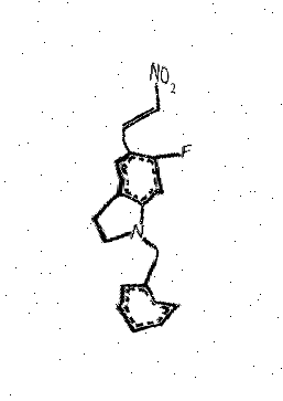 O=[N+]([O-])C=Cc1cc2c(cc1F)N(Cc1ccccc1)CC2